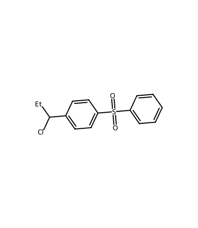 CCC(Cl)c1ccc(S(=O)(=O)c2ccccc2)cc1